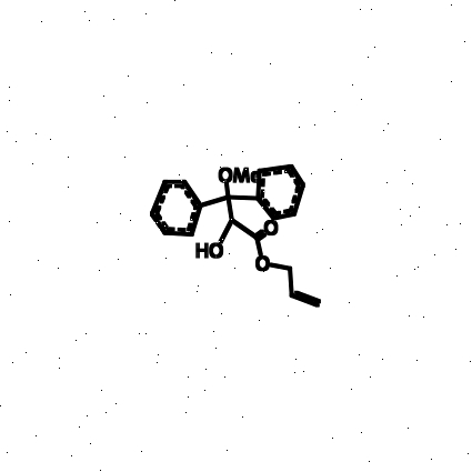 C=CCOC(=O)C(O)C(OC)(c1ccccc1)c1ccccc1